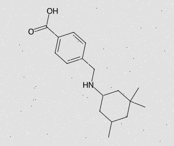 CC1CC(NCc2ccc(C(=O)O)cc2)CC(C)(C)C1